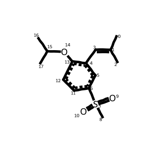 CC(C)=Cc1cc(S(C)(=O)=O)ccc1OC(C)C